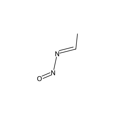 CC=NN=O